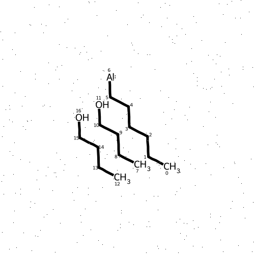 CCCCC[CH2][Al].CCCCO.CCCCO